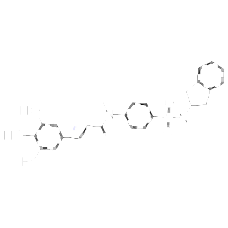 CN(C(=O)/C=C/c1cc(O)c(O)c(Br)c1)c1ccc(S(=O)(=O)NC2Cc3ccccc3C2)cc1